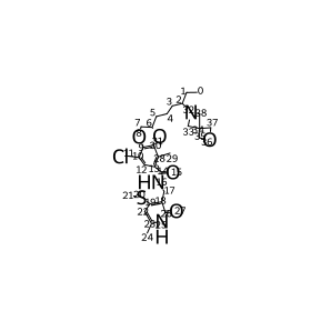 CCC(CCCC1COc2c(Cl)cc(C(=O)NCc3c(SC)cc(C)[nH]c3=O)c(C)c2O1)N1CC2(COC2)C1